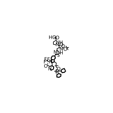 CO[C@@H](C)c1ncccc1-c1c(CC(C)(C)CO[Si](c2ccccc2)(c2ccccc2)C(C)(C)C)c2cc(-c3nc(CC(NC(=O)OC(C)(C)C)C(=O)N4CCCC(C(=O)O)N4)ns3)ccc2n1CC(F)(F)F